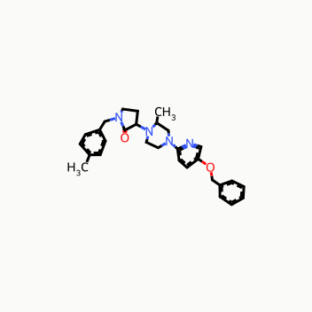 Cc1ccc(CN2CCC(N3CCN(c4ccc(OCc5ccccc5)cn4)CC3C)C2=O)cc1